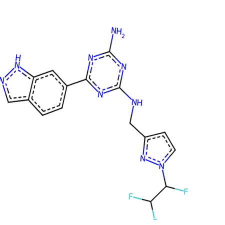 Nc1nc(NCc2ccn(C(F)C(F)F)n2)nc(-c2ccc3cn[nH]c3c2)n1